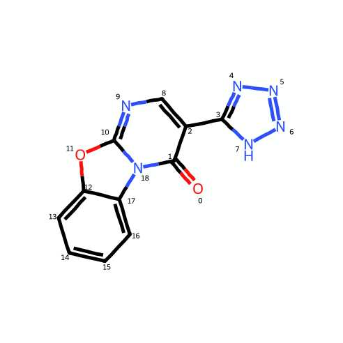 O=c1c(-c2nnn[nH]2)cnc2oc3ccccc3n12